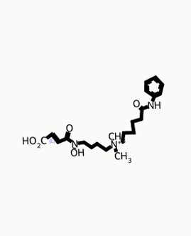 C[N+](C)(CCCCCC(=O)Nc1ccccc1)CCCCN(O)C(=O)/C=C/C(=O)O